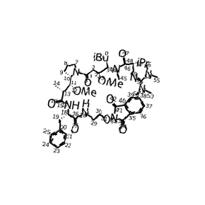 CC[C@H](C)[C@@H]([C@@H](CC(=O)N1CCC[C@H]1[C@H](OC)[C@@H](C)C(=O)N[C@@H](Cc1ccccc1)C(=O)NCCON1C(=O)c2ccccc2C1=O)OC)N(C)C(=O)[C@@H](N=C(N(C)C)N(C)C)C(C)C